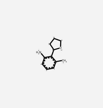 Cc1cccc(N)c1C1CCCO1